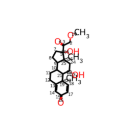 COCC(=O)[C@@]1(O)CCC2C3CCC4=CC(=O)C=C[C@]4(C)C3[C@@H](O)C[C@@]21C